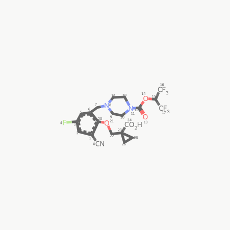 N#Cc1cc(F)cc(CN2CCN(C(=O)OC(C(F)(F)F)C(F)(F)F)CC2)c1OCC1(C(=O)O)CC1